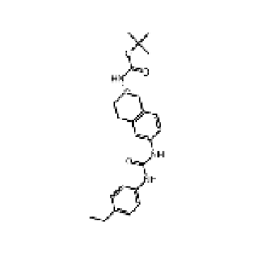 CCc1ccc(NC(=O)Nc2ccc3c(c2)CC[C@H](NC(=O)OC(C)(C)C)C3)cc1